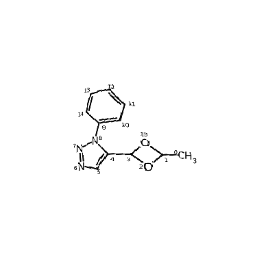 CC1OC(c2cnnn2-c2ccccc2)O1